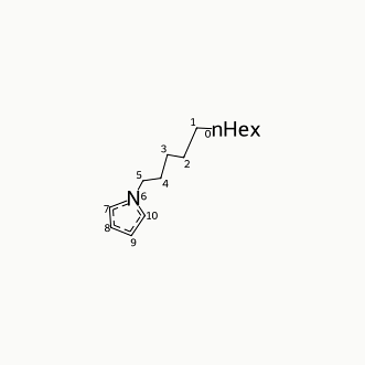 CCCCCCCCCCCn1cccc1